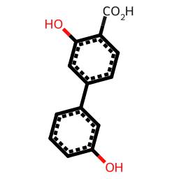 O=C(O)c1ccc(-c2cccc(O)c2)cc1O